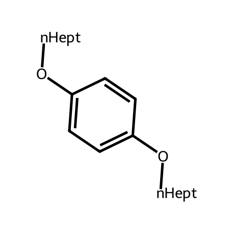 CCCCCCCOc1ccc(OCCCCCCC)cc1